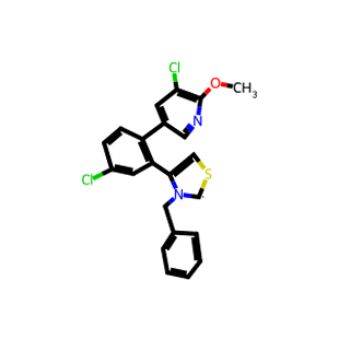 COc1ncc(-c2ccc(Cl)cc2C2=CS[CH]N2Cc2ccccc2)cc1Cl